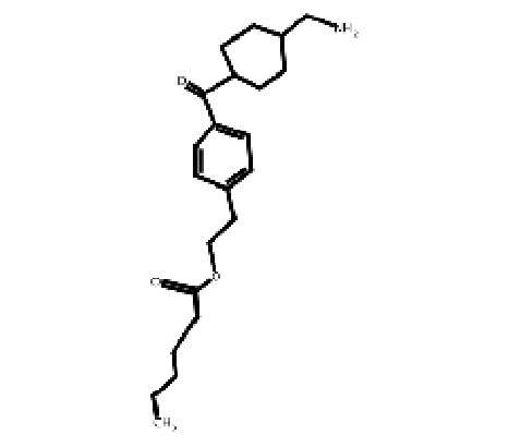 CCCCCC(=O)OCCc1ccc(C(=O)C2CCC(CN)CC2)cc1